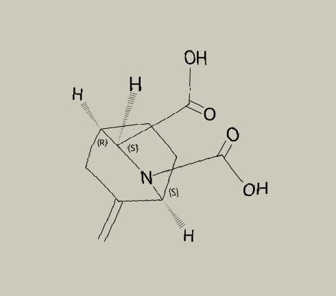 C=C1C[C@H]2CC[C@@H]1N(C(=O)O)[C@@H]2C(=O)O